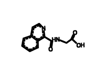 O=C(O)CNC(=O)c1nccc2ccccc12